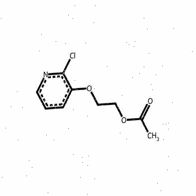 CC(=O)OCCOc1cccnc1Cl